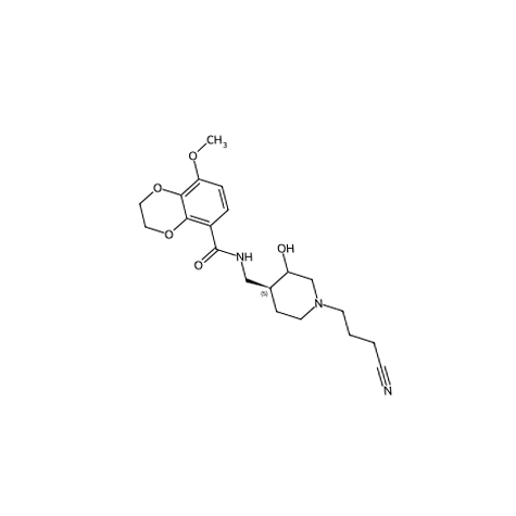 COc1ccc(C(=O)NC[C@@H]2CCN(CCCC#N)CC2O)c2c1OCCO2